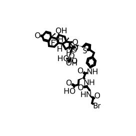 C[C@]12C=CC(=O)C=C1CC[C@H]1[C@@H]3C[C@H]4O[C@@H](c5ccc(Cc6ccc(NC(=O)[C@H](CCC(=O)O)NC(=O)CNC(=O)CBr)cc6)s5)O[C@@]4(C(=O)COP(=O)(O)O)[C@@]3(C)C[C@H](O)[C@@]12F